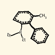 CCN(CC)c1cccc(C)c1-c1ccccc1